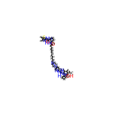 CC(=O)C1=C(C)c2cnc(Nc3ccc(N4CCN(CCCCCCCCCCCC(=O)Nc5ccccc5C(=O)Nc5nc(C)c(C)s5)CC4)cn3)nc2N(C2CCCC2)C1O